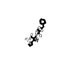 NC(=O)c1c(-c2cccs2)noc1NC(=O)C1=COC(Cc2ccccc2)O1